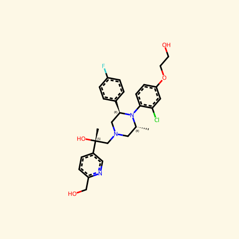 C[C@@H]1CN(C[C@@](C)(O)c2ccc(CO)nc2)C[C@@H](c2ccc(F)cc2)N1c1ccc(OCCO)cc1Cl